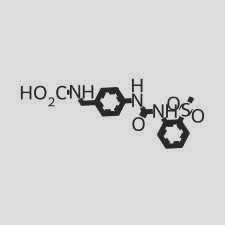 CS(=O)(=O)c1ccccc1NC(=O)Nc1ccc(CNC(=O)O)cc1